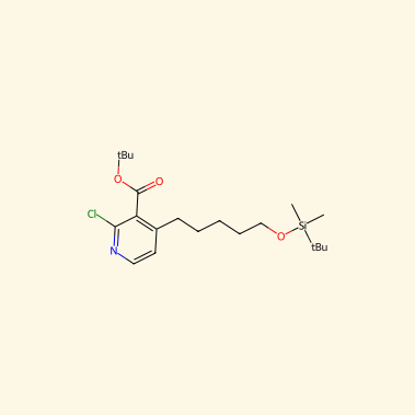 CC(C)(C)OC(=O)c1c(CCCCCO[Si](C)(C)C(C)(C)C)ccnc1Cl